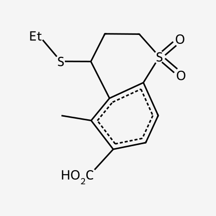 CCSC1CCS(=O)(=O)c2ccc(C(=O)O)c(C)c21